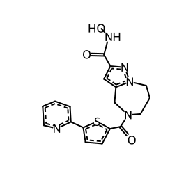 O=C(NO)c1cc2n(n1)CCCN(C(=O)c1ccc(-c3ccccn3)s1)C2